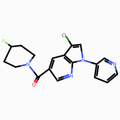 O=C(c1cnc2c(c1)c(Cl)cn2-c1cccnc1)N1CCC(F)CC1